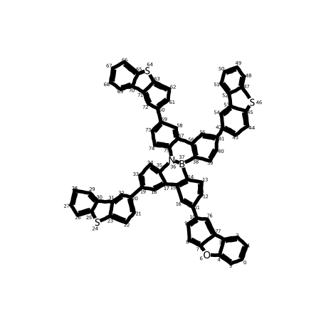 c1ccc2c(c1)oc1ccc(-c3ccc4c(c3)-c3cc(-c5ccc6sc7ccccc7c6c5)ccc3N3B4c4ccc(-c5ccc6sc7ccccc7c6c5)cc4-c4cc(-c5ccc6sc7ccccc7c6c5)ccc43)cc12